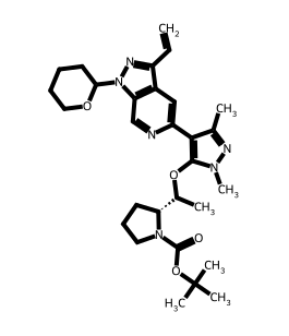 C=Cc1nn(C2CCCCO2)c2cnc(-c3c(C)nn(C)c3OC(C)[C@H]3CCCN3C(=O)OC(C)(C)C)cc12